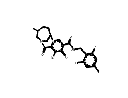 Cc1cc(F)c(CNC(=O)c2cn3c(c(O)c2=O)C(=O)N2CC(C)CCC3C2)c(F)c1